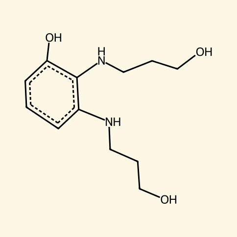 OCCCNc1cccc(O)c1NCCCO